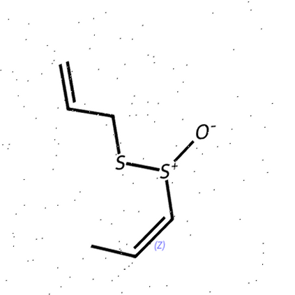 C=CCS[S+]([O-])/C=C\C